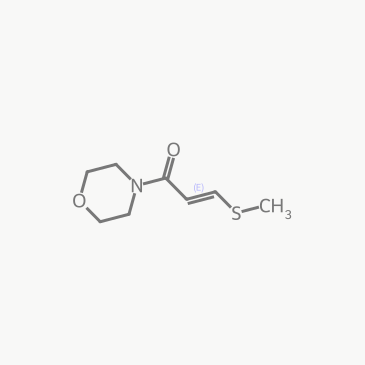 CS/C=C/C(=O)N1CCOCC1